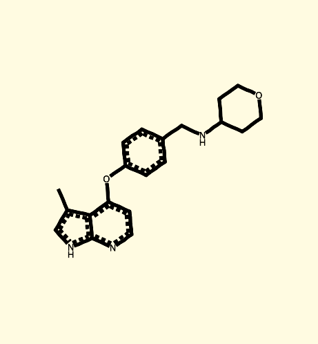 Cc1c[nH]c2nccc(Oc3ccc(CNC4CCOCC4)cc3)c12